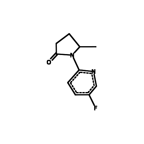 CC1CCC(=O)N1c1ccc(F)cn1